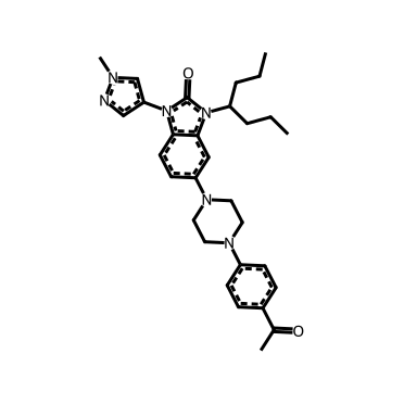 CCCC(CCC)n1c(=O)n(-c2cnn(C)c2)c2ccc(N3CCN(c4ccc(C(C)=O)cc4)CC3)cc21